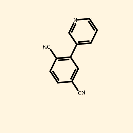 N#Cc1ccc(C#N)c(-c2cc[c]nc2)c1